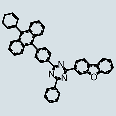 C1=CC(c2c3ccccc3c(-c3ccc(-c4nc(-c5ccccc5)nc(-c5ccc6c(c5)oc5ccccc56)n4)cc3)c3ccccc23)=CCC1